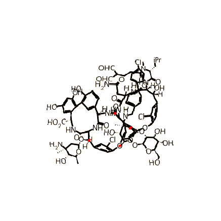 CC(C)C[C@H](C(=O)N[C@H]1C(=O)N[C@@H](CC(N)=O)C(=O)N[C@H]2C(=O)N[C@H]3C(=O)N[C@H](C(=O)N[C@H](C(=O)O)c4cc(O)cc(O)c4-c4cc3ccc4O)[C@H](O[C@H]3C[C@](C)(N)[C@@H](O)[C@H](C)O3)c3ccc(c(Cl)c3)Oc3cc2cc(c3O[C@@H]2O[C@H](CO)[C@@H](O)[C@H](O)[C@H]2O[C@H]2C[C@](C)(NCc3ccc(-c4ccc(Cl)cc4)cc3)[C@@H](O)[C@H](C)O2)Oc2ccc(cc2Cl)[C@H]1O)N(C)C(=O)CCC(C=O)C=O